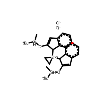 C[SiH](OC1=Cc2ccccc2[CH]1[Zr+2]1([CH]2C(O[SiH](C)C(C)(C)C)=Cc3ccccc32)[CH2][CH2]1)C(C)(C)C.[Cl-].[Cl-]